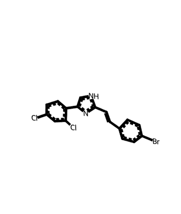 Clc1ccc(-c2c[nH]c(C=Cc3ccc(Br)cc3)n2)c(Cl)c1